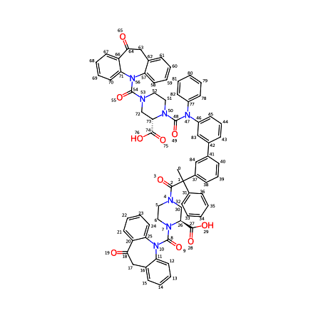 CC(C(=O)N1CCN(C(=O)N2c3ccccc3CC(=O)c3ccccc32)[C@H](C(=O)O)C1)(c1ccccc1)c1cccc(-c2cccc(N(C(=O)N3CCN(C(=O)N4c5ccccc5CC(=O)c5ccccc54)C[C@H]3C(=O)O)c3ccccc3)c2)c1